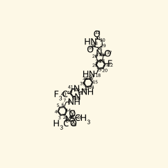 CN(c1cccc(CNc2nc(Nc3ccc(NCc4cc(F)c5c(c4)CN(C4CCC(=O)NC4=O)C5=O)cc3)ncc2C(F)(F)F)c1)S(C)(=O)=O